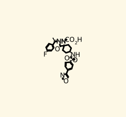 C[C@@H](NC(=O)[C@]1(NC(=O)O)CC[C@H](NS(=O)(=O)c2ccc(-c3cocn3)cc2)CC1)c1ccc(F)cc1